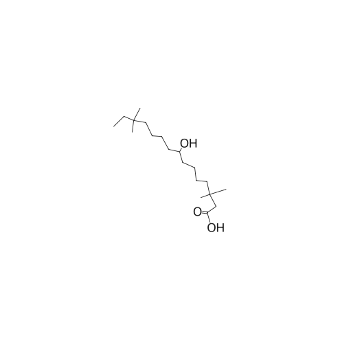 CCC(C)(C)CCCCC(O)CCCCC(C)(C)CC(=O)O